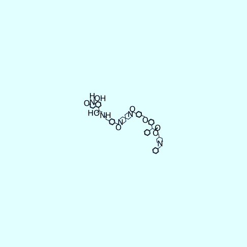 O=C(OCC1CCN(Cc2ccccc2)CC1)C(c1ccccc1)c1cccc(OCc2ccc(C(=O)N3CCC4(CCN(C(=O)c5ccc(CCNCC(O)c6ccc(O)c7[nH]c(=O)ccc67)cc5)CC4)CC3)cc2)c1